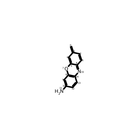 C=c1ccc2c(c1)Oc1cc(N)ccc1N=2